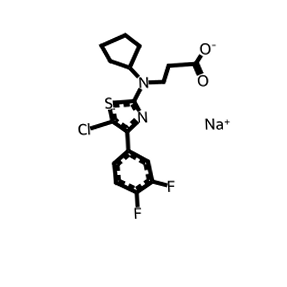 O=C([O-])CCN(c1nc(-c2ccc(F)c(F)c2)c(Cl)s1)C1CCCC1.[Na+]